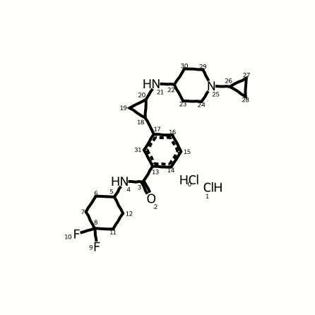 Cl.Cl.O=C(NC1CCC(F)(F)CC1)c1cccc(C2CC2NC2CCN(C3CC3)CC2)c1